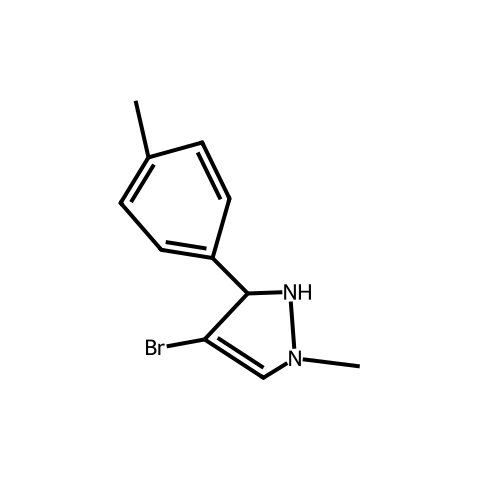 Cc1ccc(C2NN(C)C=C2Br)cc1